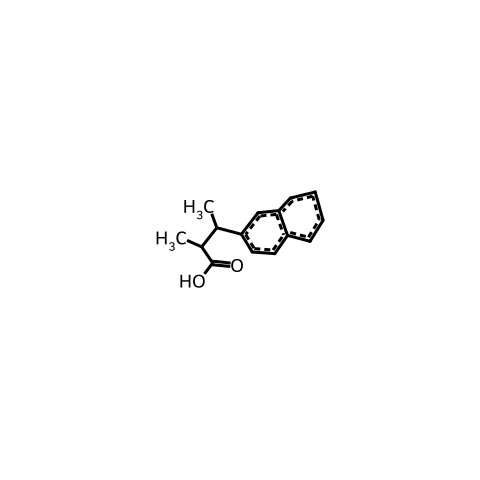 CC(C(=O)O)C(C)c1ccc2ccccc2c1